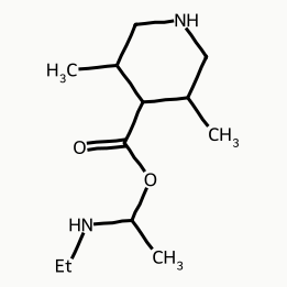 CCNC(C)OC(=O)C1C(C)CNCC1C